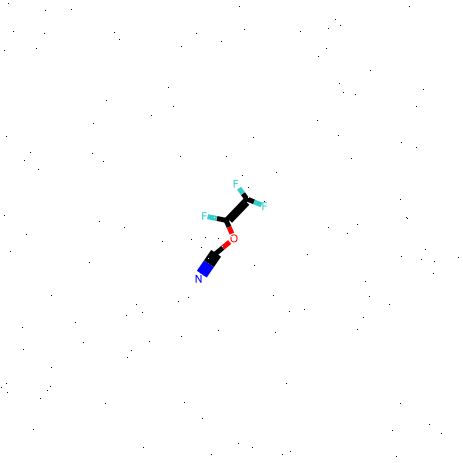 N#COC(F)=C(F)F